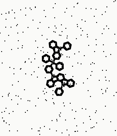 c1ccc(-n2c3ccccc3c3cc([Si](c4ccccc4)(c4ccccc4)c4cccc(-n5c6ccccc6c6c5ccc5c7ccccc7n(-c7ccccc7)c56)c4)ccc32)cc1